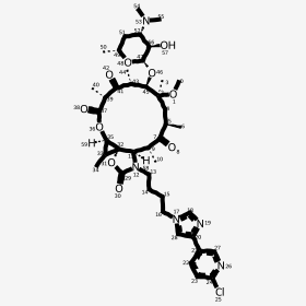 CO[C@@]1(C)C[C@@H](C)C(=O)[C@H](C)[C@H]2N(CCCCn3cnc(-c4ccc(Cl)nc4)c3)C(=O)O[C@@]23C(C)[C@H]3OC(=O)[C@H](C)C(=O)[C@H](C)[C@H]1O[C@@H]1O[C@H](C)C[C@H](N(C)C)[C@H]1O